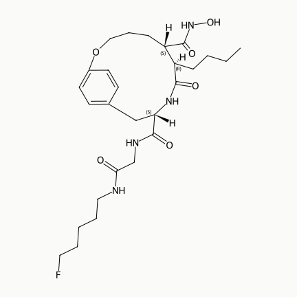 CCCC[C@H]1C(=O)N[C@H](C(=O)NCC(=O)NCCCCCF)Cc2ccc(cc2)OCCC[C@@H]1C(=O)NO